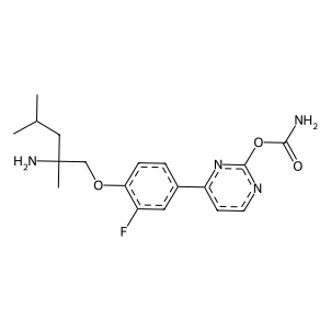 CC(C)CC(C)(N)COc1ccc(-c2ccnc(OC(N)=O)n2)cc1F